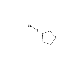 C1CCSC1.CCI